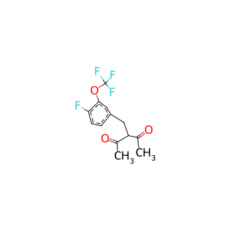 CC(=O)C(Cc1ccc(F)c(OC(F)(F)F)c1)C(C)=O